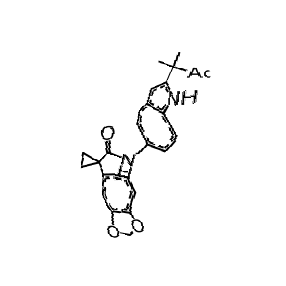 CC(=O)C(C)(C)c1cc2cc(NC(=O)C3(c4ccc5c(c4)OCO5)CC3)ccc2[nH]1